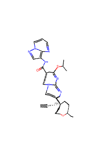 C#C[C@]1(c2cn3cc(C(=O)Nc4cnn5cccnc45)c(OC(C)C)nc3n2)CCC(C)OC1